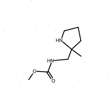 COC(=O)NCC1(C)CCCN1